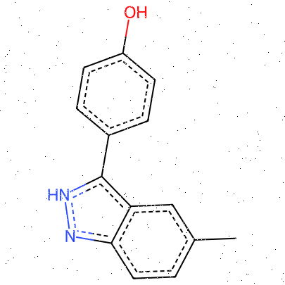 Cc1ccc2n[nH]c(-c3ccc(O)cc3)c2c1